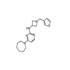 c1cc(N2CCCCCC2)nc(NC2CN(Cc3ccoc3)C2)n1